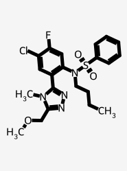 CCCCN(c1cc(F)c(Cl)cc1-c1nnc(COC)n1C)S(=O)(=O)c1ccccc1